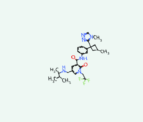 CC1CC(c2cccc(NC(=O)c3cc(CNC(C)C(C)C)cn(CC(F)(F)F)c3=O)c2)(c2nncn2C)C1